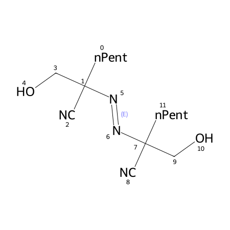 CCCCCC(C#N)(CO)/N=N/C(C#N)(CO)CCCCC